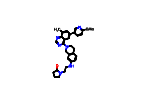 COc1ccc(-c2cc(C)c3ncnc(N4CCc5ccc(NCCN6CCCC6=O)cc5C4)c3c2)cn1